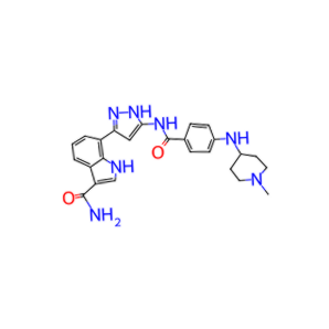 CN1CCC(Nc2ccc(C(=O)Nc3cc(-c4cccc5c(C(N)=O)c[nH]c45)n[nH]3)cc2)CC1